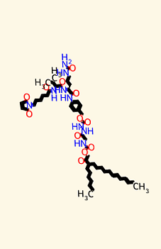 CCC=CCC=CCCCCCC(CCCCCCC)C(=O)COC(=O)NCC(=O)NNC(=O)OCc1ccc(NC(=O)[C@H](CCCNC(N)=O)NC(=O)[C@@H](NC(=O)CCCCCN2C(=O)C=CC2=O)C(C)C)cc1